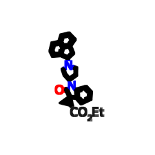 CCOC(=O)C1CC12C(=O)N(C1CCN(C3Cc4cccc5cccc3c45)CC1)c1ccccc12